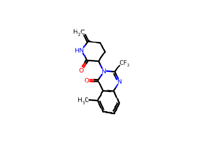 C=C1CCC(N2C(=O)C3C(C)=CC=CC3N=C2C(F)(F)F)C(=O)N1